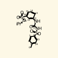 Cc1ccc(S(=O)(=O)NC(=O)Nc2cccc(S(=O)(=O)OC(C)C)c2)cc1